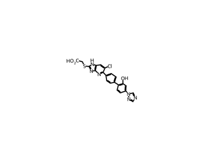 O=C(O)CSc1nc2nc(-c3ccc(-c4ccc(-n5cncn5)cc4O)cc3)c(Cl)cc2[nH]1